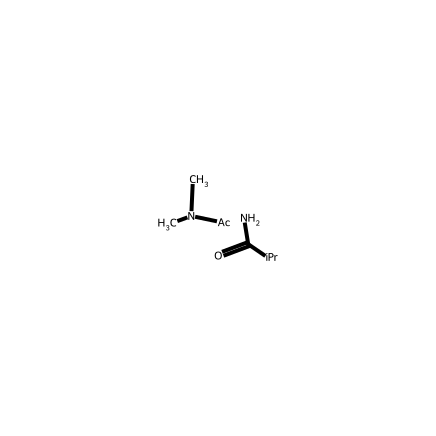 CC(=O)N(C)C.CC(C)C(N)=O